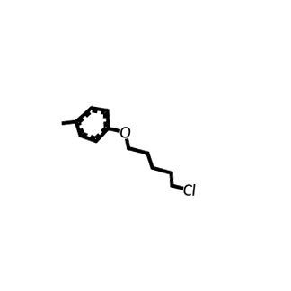 Cc1ccc(OCCCCCCl)cc1